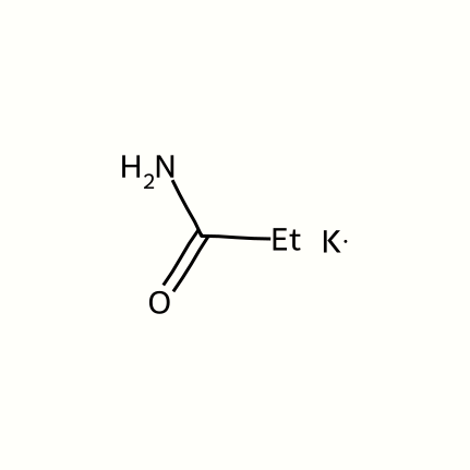 CCC(N)=O.[K]